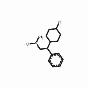 CN(C)CC(c1ccccc1)C1CCC(O)CC1